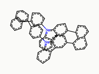 c1ccc(-c2ccc(-n3c4ccccc4c4cc(-c5cccc6cccc(-c7ccc8c(c7)c7ccccc7n8-c7cccc(-c8ccccc8)c7)c56)ccc43)cc2)cc1